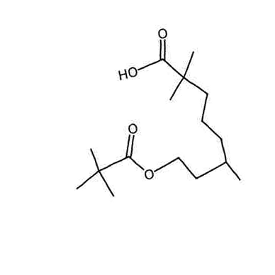 CC(CCCC(C)(C)C(=O)O)CCOC(=O)C(C)(C)C